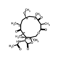 CO[C@H]1C[C@H](C)C(=O)C(C)C(=O)OC[C@@]2(C)OC(=O)N(NC(C)=O)[C@@H]2[C@@H](C)C(=O)[C@@H](C)C1